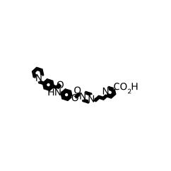 O=C(O)c1ccc(CCCN2CCN(C(=O)Oc3ccc(NC(=O)c4ccc(CN5CCCCC5)cc4)cc3)CC2)nc1